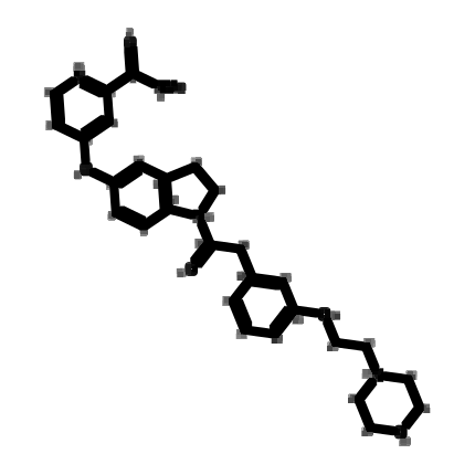 CNC(=O)c1cc(Oc2ccc3c(c2)CCN3C(=O)Cc2cccc(OCCN3CCOCC3)c2)ccn1